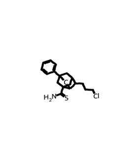 NC(=S)C12CC3CC(c4ccccc4)(CC1C3CCCCl)C2